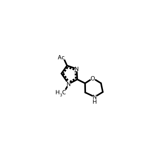 CC(=O)c1cn(C)c(C2CNCCO2)n1